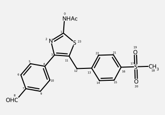 CC(=O)Nc1nc(-c2ccc(C=O)cc2)c(Cc2ccc(S(C)(=O)=O)cc2)s1